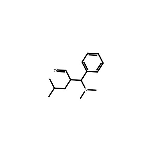 C[C](C)CC(C=O)C(c1ccccc1)N(C)C